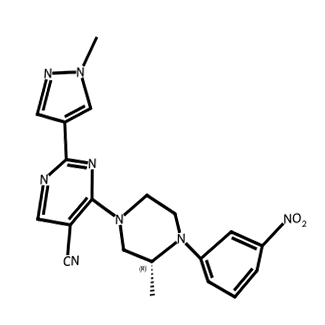 C[C@@H]1CN(c2nc(-c3cnn(C)c3)ncc2C#N)CCN1c1cccc([N+](=O)[O-])c1